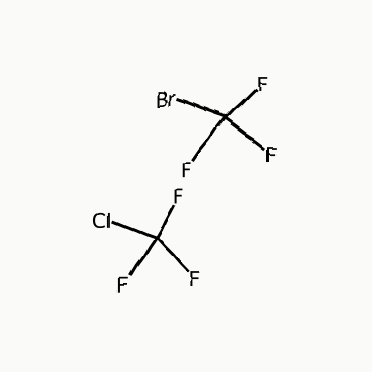 FC(F)(F)Br.FC(F)(F)Cl